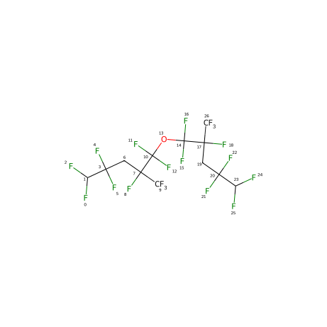 FC(F)C(F)(F)CC(F)(C(F)(F)F)C(F)(F)OC(F)(F)C(F)(CC(F)(F)C(F)F)C(F)(F)F